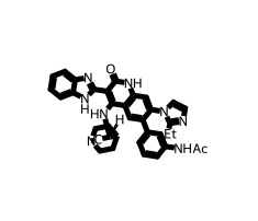 CCc1nccn1-c1cc2[nH]c(=O)c(-c3nc4ccccc4[nH]3)c(N[C@H]3CN4CCC3CC4)c2cc1-c1cccc(NC(C)=O)c1